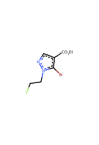 CCOC(=O)c1cnn(CCF)c1Br